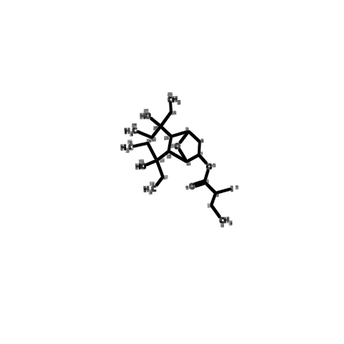 CCC(I)C(=O)OC1CC2OC1C(C(O)(CC)CC)C2C(O)(CC)CC